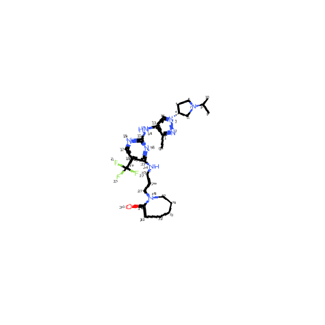 Cc1nn([C@@H]2CCN(C(C)C)C2)cc1Nc1ncc(C(F)(F)F)c(NCCCN2CCCCCC2=O)n1